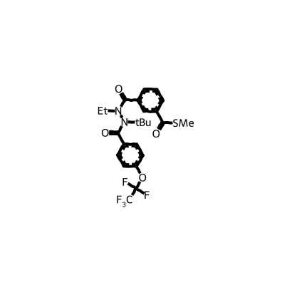 CCN(C(=O)c1cccc(C(=O)SC)c1)N(C(=O)c1ccc(OC(F)(F)C(F)(F)F)cc1)C(C)(C)C